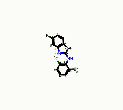 Fc1ccc2[se]c(Nc3c(F)cccc3Br)nc2c1